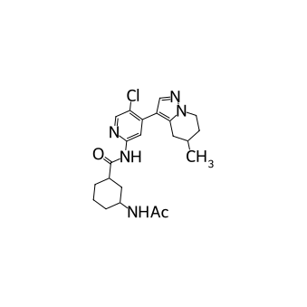 CC(=O)NC1CCCC(C(=O)Nc2cc(-c3cnn4c3CC(C)CC4)c(Cl)cn2)C1